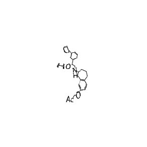 CC(=O)COc1ccc2c(c1)C[C@@H](NC[C@H](O)c1cccc(Cl)c1)CCC2